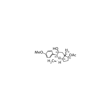 C=C[C@@H]1[C@@H](c2ccc(OC)cc2)[C@@H](O)C[C@]2(C)[C@@H](OC(C)=O)CC[C@@H]12